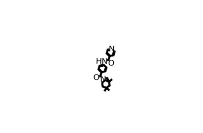 CC1(C)CC2CC(C)(CN2C(=O)c2ccc(NC(=O)c3ccncc3)cc2)C1